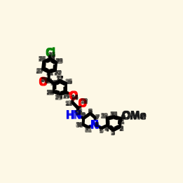 COc1ccc(CN2CCC(NC(=O)COc3ccc(C(=O)c4ccc(Cl)cc4)cc3)CC2)cc1